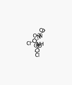 O=C1CC(c2ccco2)=NN1Cc1ccc(Cl)cc1NS(=O)(=O)c1ccc(Cl)cc1